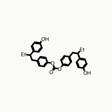 CCC(Cc1ccc(OC(=O)Oc2ccc(CC(CC)c3ccc(O)cc3)cc2)cc1)c1ccc(O)cc1